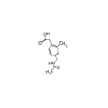 CC(=O)NCc1ccc(CC(=O)O)c(C)c1